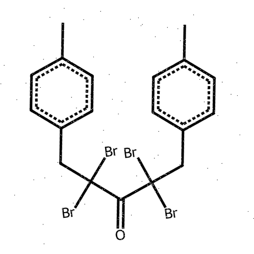 Cc1ccc(CC(Br)(Br)C(=O)C(Br)(Br)Cc2ccc(C)cc2)cc1